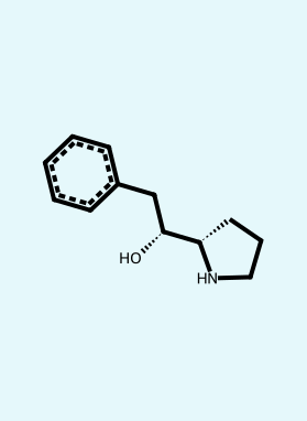 O[C@H](Cc1ccccc1)[C@@H]1CCCN1